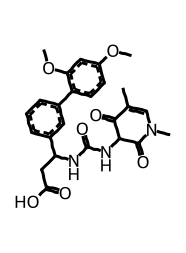 COc1ccc(-c2cccc(C(CC(=O)O)NC(=O)NC3C(=O)C(C)=CN(C)C3=O)c2)c(OC)c1